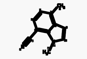 Cc1ccc(C#N)c2c1ccn2C